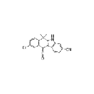 CCc1ccc2c(c1)C(=C=O)c1c([nH]c3cc(C#N)ccc13)C2(C)C